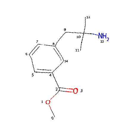 COC(=O)c1cccc(CC(C)(C)N)c1